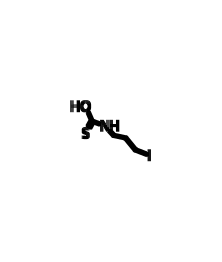 OC(=S)NCCCI